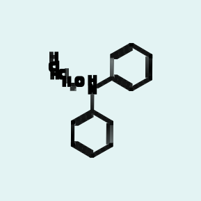 Cl.Cl.O.c1ccc(Nc2ccccc2)cc1